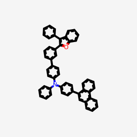 c1ccc(-c2c(-c3cccc(-c4ccc(N(c5ccccc5)c5ccc(-c6cc7ccccc7c7ccccc67)cc5)cc4)c3)oc3ccccc23)cc1